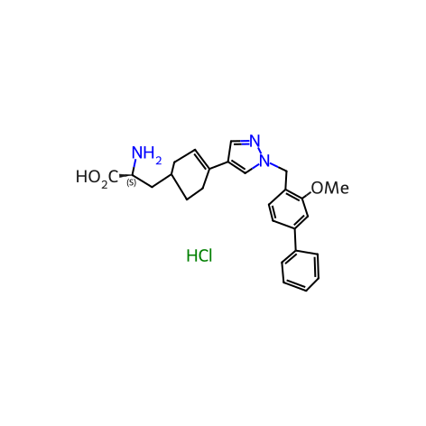 COc1cc(-c2ccccc2)ccc1Cn1cc(C2=CCC(C[C@H](N)C(=O)O)CC2)cn1.Cl